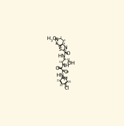 CN1CCc2nc(C(=O)N[C@H](CO)CNC(=O)C(=O)Nc3ccc(Cl)cn3)sc2C1